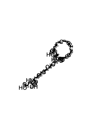 O=C(O)CC[C@H](NC(=O)CCOCCOCCOCCOCCNC(=O)C1C[C@@H](C(=O)O)NC(=O)CCCCCCCCCCCCCCCCC1=O)C(=O)O